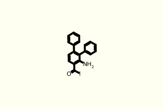 Nc1c(C(=O)I)ccc(-c2ccccc2)c1-c1ccccc1